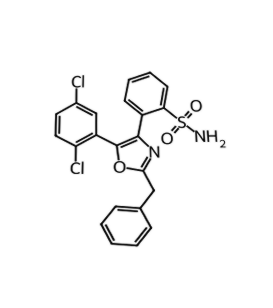 NS(=O)(=O)c1ccccc1-c1nc(Cc2ccccc2)oc1-c1cc(Cl)ccc1Cl